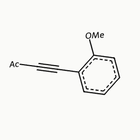 COc1ccccc1C#CC(C)=O